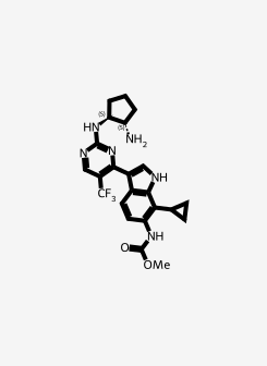 COC(=O)Nc1ccc2c(-c3nc(N[C@H]4CCC[C@@H]4N)ncc3C(F)(F)F)c[nH]c2c1C1CC1